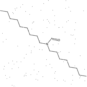 CCCCCCCCCN([C]=O)CCCCCCCC